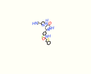 O=C1CN/N=C(/c2ccc(F)c(NC(=O)c3cc4ccccc4s3)c2)C/C=C\1Nc1ccc(C2CNC2)cn1